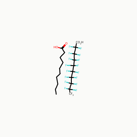 CCCCCCCCCC(=O)O.O=C(O)C(F)(F)C(F)(F)C(F)(F)C(F)(F)C(F)(F)C(F)(F)C(F)(F)C(F)(F)C(F)(F)F